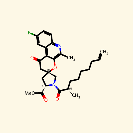 C=CCCCCC[C@H](C)C(=O)N1C[C@]2(CC(=O)c3c(c(C)nc4ccc(F)cc34)O2)C[C@H]1C(=O)OC